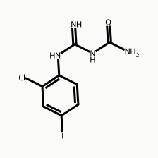 N=C(NC(N)=O)Nc1ccc(I)cc1Cl